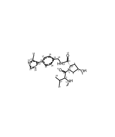 CNC(C(=O)N1C[C@H](O)C[C@H]1C(=O)NCc1ccc(-c2scnc2C)cc1)C(C)C